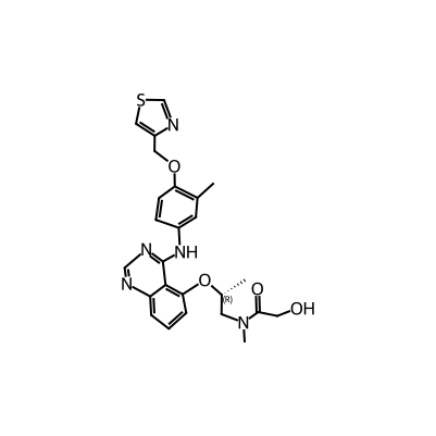 Cc1cc(Nc2ncnc3cccc(O[C@H](C)CN(C)C(=O)CO)c23)ccc1OCc1cscn1